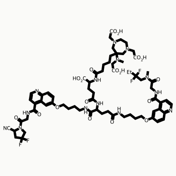 CCC(F)(F)CN(C)C(=O)CNC(=O)c1ccnc2ccc(OCCCCNC(=O)CCC(NC(=O)CCC(NC(=O)CCCCC3(N(C)CC(=O)O)CN(CC(=O)O)CCN(CC(=O)O)C3)C(=O)O)C(=O)NCCCCOc3ccc4nccc(C(=O)NCC(=O)N5CC(F)(F)CC5C#N)c4c3)cc12